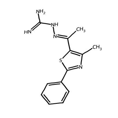 CC(=NNC(=N)N)c1sc(-c2ccccc2)nc1C